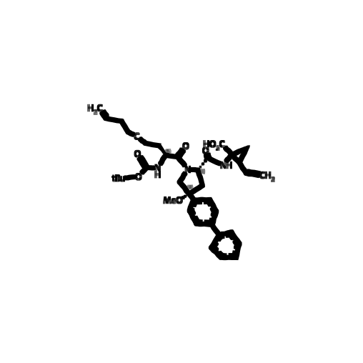 C=CCCCCC[C@H](NC(=O)OC(C)(C)C)C(=O)N1C[C@](OC)(c2ccc(-c3ccccc3)cc2)C[C@H]1C(=O)NC1(C(=O)O)CC1C=C